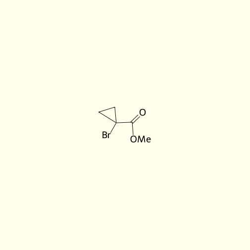 COC(=O)C1(Br)CC1